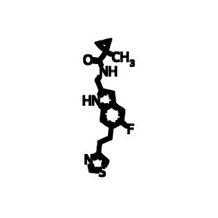 CC1(C(=O)NCc2cc3cc(F)c(CCc4cscn4)cc3[nH]2)CC1